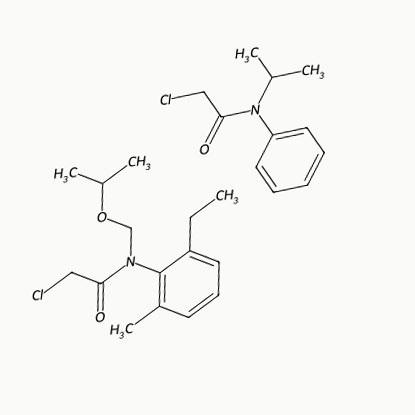 CC(C)N(C(=O)CCl)c1ccccc1.CCc1cccc(C)c1N(COC(C)C)C(=O)CCl